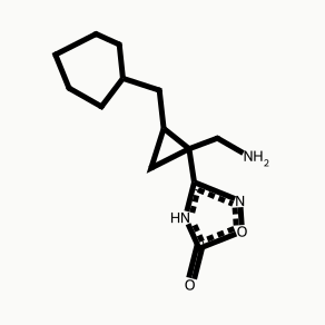 NCC1(c2noc(=O)[nH]2)CC1CC1CCCCC1